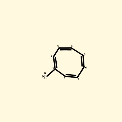 [Ni][C]1=CC=CC=CC=C1